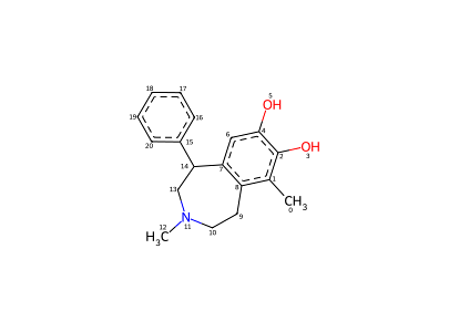 Cc1c(O)c(O)cc2c1CCN(C)CC2c1ccccc1